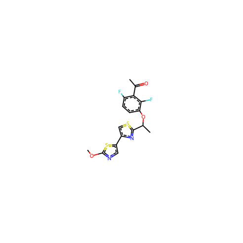 COc1ncc(-c2csc(C(C)Oc3ccc(F)c(C(C)=O)c3F)n2)s1